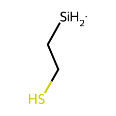 [SiH2]CCS